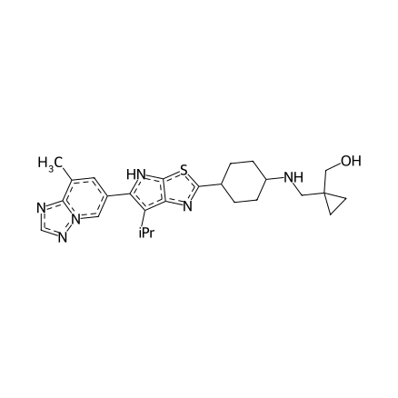 Cc1cc(-c2[nH]c3sc(C4CCC(NCC5(CO)CC5)CC4)nc3c2C(C)C)cn2ncnc12